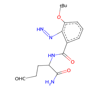 CC(C)(C)Oc1cccc(C(=O)NC(CCC=O)C(N)=O)c1N=N